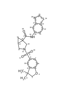 CC1(C)COc2ccc(S(=O)(=O)N3CC4CC4(C(=O)Nc4ccc5scnc5c4)C3)cc21